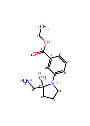 CCOC(=O)c1cccc(N2CCC[C@]2(O)CN)c1